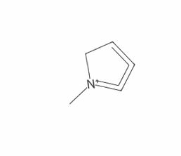 C[N+]1=C=C=CC1